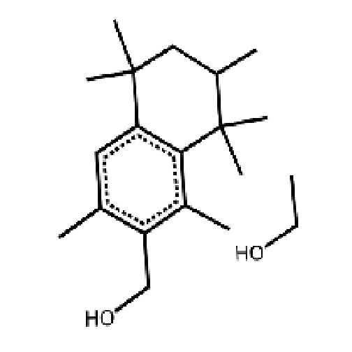 CCO.Cc1cc2c(c(C)c1CO)C(C)(C)C(C)CC2(C)C